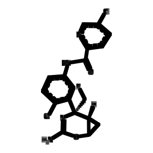 NC1=N[C@@](CF)(c2cc(NC(=O)c3ccc(Cl)cn3)ccc2Cl)[C@@H]2CC2O1